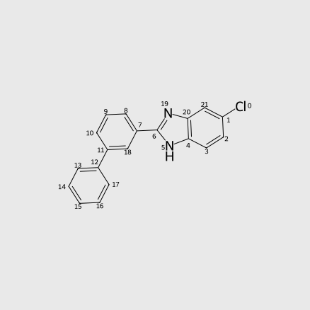 Clc1ccc2[nH]c(-c3cccc(-c4ccccc4)c3)nc2c1